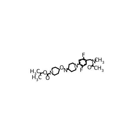 CC(=O)N(C)Cc1cc(F)c(N2CCC(=NOC3CCN(C(=O)OC(C)C)CC3)CC2)cc1F